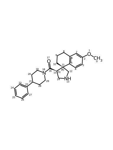 COc1ccc2c(c1)CCC[C@]21CNC[C@H]1C(=O)N1CCC(c2ccccc2)CC1